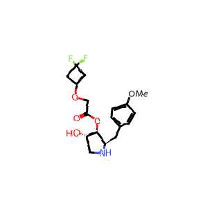 COc1ccc(C[C@H]2NC[C@H](O)[C@H]2OC(=O)COC2CC(F)(F)C2)cc1